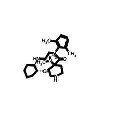 Cc1cccc(C)c1N(CCN[C@@H]1CCCC[C@H]1O)C(=O)C1(N(C)C)CCNCC1